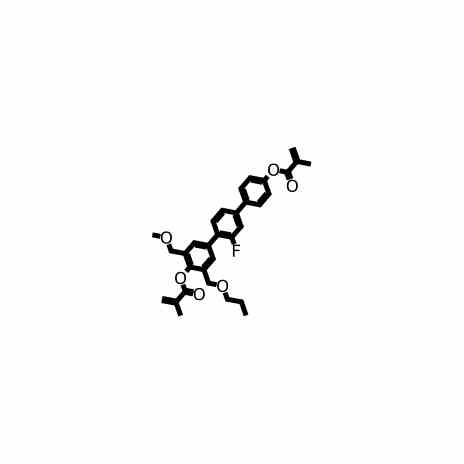 C=C(C)C(=O)Oc1ccc(-c2ccc(-c3cc(COC)c(OC(=O)C(=C)C)c(COCCC)c3)c(F)c2)cc1